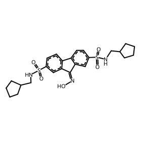 O=S(=O)(NCC1CCCC1)c1ccc2c(c1)C(=NO)c1cc(S(=O)(=O)NCC3CCCC3)ccc1-2